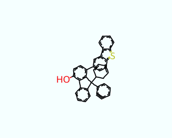 Oc1ccc(-c2ccc3sc4ccccc4c3c2)c2c1-c1ccccc1C2(c1c#cccc1)C1C=CC=CC1